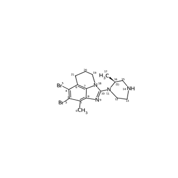 Cc1c(Br)c(Br)c2c3c1nc(N1CCNC[C@@H]1C)n3CCC2